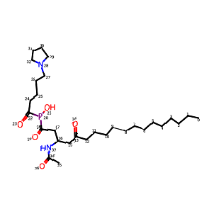 CCCCCCCCCCCCCC(=O)CC(CC(=O)P(O)C(=O)CCCCN1CCCC1)NC(C)=O